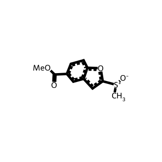 COC(=O)c1ccc2oc([S+](C)[O-])cc2c1